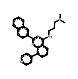 CN(C)CCCNc1nc(-c2ccc3ccccc3c2)nc2c(-c3ccncc3)cccc12